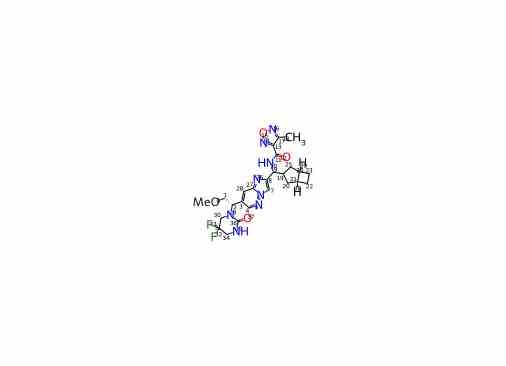 COC[C@H](c1cnn2cc([C@@H](NC(=O)c3nonc3C)C3C[C@H]4CC[C@H]4C3)nc2c1)N1CC(F)(F)CNC1=O